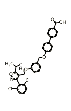 CC(C)c1onc(-c2c(Cl)cccc2Cl)c1COc1cccc(COc2ccc(-c3ccc(C(=O)O)cc3)cc2)c1